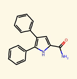 NC(=O)c1cc(-c2ccccc2)c(-c2ccccc2)[nH]1